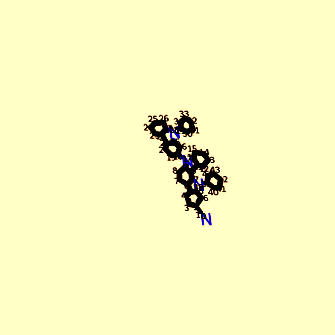 N#Cc1ccc2c3ccc4c(c5ccccc5n4-c4ccc5c6ccccc6n(-c6ccccc6)c5c4)c3n(-c3ccccc3)c2c1